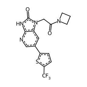 O=C(Cn1c(=O)[nH]c2ncc(-c3ccc(C(F)(F)F)s3)cc21)N1CCC1